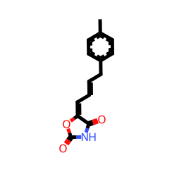 Cc1ccc(C/C=C/C=C2/OC(=O)NC2=O)cc1